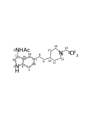 CC(=O)Nc1c[nH]c2ccc(CCC3CCN(CC(F)(F)F)CC3)cc12